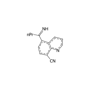 CCCC(=N)c1ccc(C#N)c2ncccc12